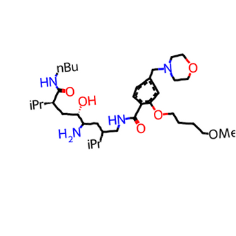 CCCCNC(=O)[C@@H](C[C@H](O)C(N)CC(CNC(=O)c1ccc(CN2CCOCC2)cc1OCCCCOC)C(C)C)C(C)C